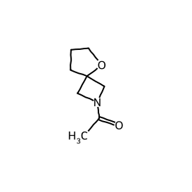 CC(=O)N1CC2(CCCO2)C1